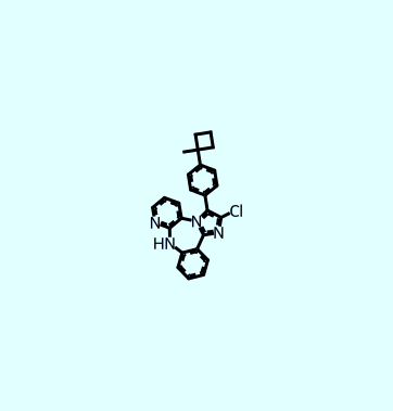 CC1(c2ccc(-c3c(Cl)nc4n3-c3cccnc3Nc3ccccc3-4)cc2)CCC1